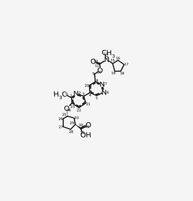 Cc1nc(-c2cnnc(COC(=O)N(C)C3CCCC3)c2)ccc1O[C@H]1CCC[C@H](C(=O)O)C1